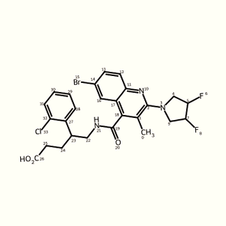 Cc1c(N2CC(F)C(F)C2)nc2ccc(Br)cc2c1C(=O)NCC(CCC(=O)O)c1ccccc1Cl